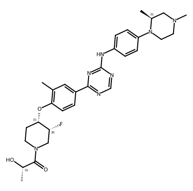 Cc1cc(-c2ncnc(Nc3ccc(N4CCN(C)C[C@@H]4C)cc3)n2)ccc1O[C@H]1CCN(C(=O)[C@H](C)O)C[C@H]1F